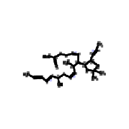 CC#C/C=C/[C@H](O)C/C=C\C(C)C(/C=C\CCC(=O)OC)[C@@H]1OC(C)(C)O[C@@H]1/C=C/C